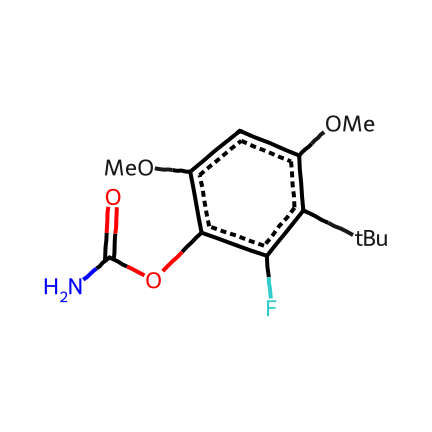 COc1cc(OC)c(C(C)(C)C)c(F)c1OC(N)=O